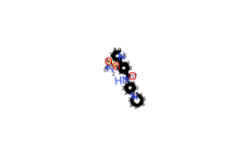 CN(C)S(=O)(=O)c1cccnc1-c1ccc(C(=O)Nc2ccc(N3CCCCCC3)cc2)cc1